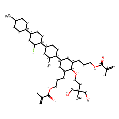 C=C(C)C(=O)OCCCC1CC(C2CCC(C3CCC(C4CCC(CCCCC)CC4)CC3F)CC2CC)CC(CCCOC(=O)C(=C)C)C1OCCC(CO)(CO)CCCC